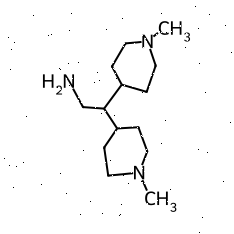 CN1CCC(C(CN)C2CCN(C)CC2)CC1